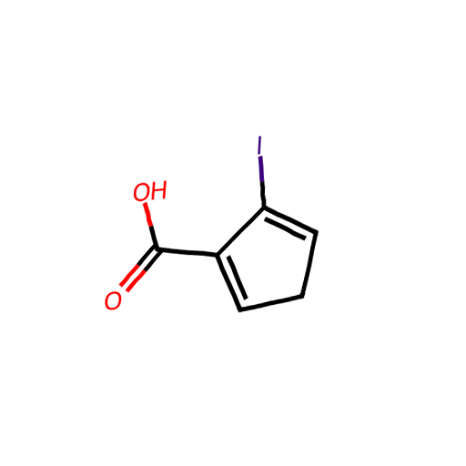 O=C(O)C1=CCC=C1I